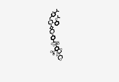 CC(C)Oc1ccccc1[C@@H]1CN(Cc2ccc(C(C)C)nc2)CCN1C1CC2(CCN(c3ccc(C(=O)NS(=O)(=O)c4cc5c(c([N+](=O)[O-])c4)N[C@H](C4CCOCC4)CO5)cc3)CC2)C1